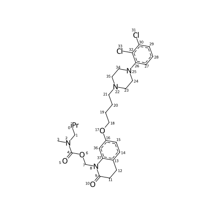 CC(C)CN(C)C(=O)OCN1C(=O)CCc2ccc(OCCCCN3CCN(c4cccc(Cl)c4Cl)CC3)cc21